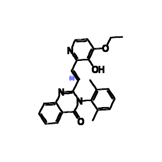 CCOc1ccnc(/C=C/c2nc3ccccc3c(=O)n2-c2c(C)cccc2C)c1O